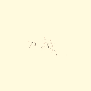 CC1(C)CCC(C)(C)c2c(N3CCN(CCC(=O)O)CC3)cc(C(=O)/C=C/c3ccc(C(=O)O)c(O)c3)cc21